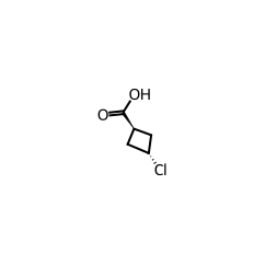 O=C(O)[C@H]1C[C@H](Cl)C1